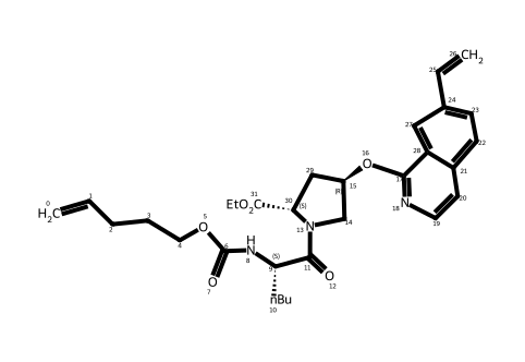 C=CCCCOC(=O)N[C@@H](CCCC)C(=O)N1C[C@H](Oc2nccc3ccc(C=C)cc23)C[C@H]1C(=O)OCC